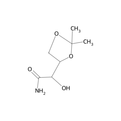 CC1(C)OCC(C(O)C(N)=O)O1